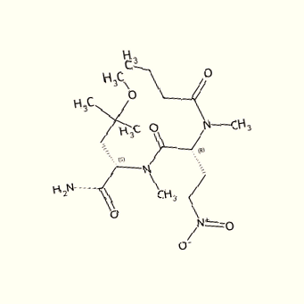 CCCC(=O)N(C)[C@H](CC[N+](=O)[O-])C(=O)N(C)[C@@H](CC(C)(C)OC)C(N)=O